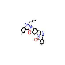 CCCCc1nc2ccc(C)cc2c(=O)n1Cc1ccc2c(c1)CCN2C(=O)c1ccccc1C#N